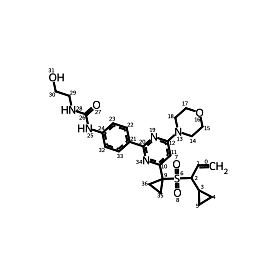 C=CC(C1CC1)S(=O)(=O)C1(c2cc(N3CCOCC3)nc(-c3ccc(NC(=O)NCCO)cc3)n2)CC1